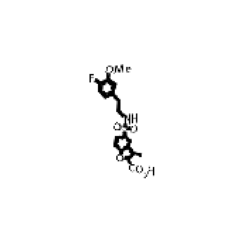 COc1cc(CCNS(=O)(=O)c2ccc3oc(C(=O)O)c(C)c3c2)ccc1F